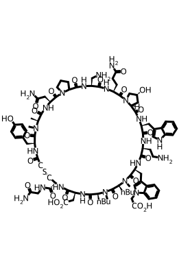 CCCC[C@H]1C(=O)N(C)[C@@H](CCCC)C(=O)N[C@@H](CC(=O)O)C(=O)N[C@H](C(=O)NCC(N)=O)CSCC(=O)N[C@@H](Cc2ccc(O)cc2)C(=O)N(C)[C@@H](C)C(=O)N[C@@H](CC(N)=O)C(=O)N2CCCC2C(=O)N[C@@H](CN)C(=O)N[C@@H](CCC(N)=O)C(=O)N2C[C@H](O)C[C@H]2C(=O)N[C@@H](Cc2c[nH]c3ccccc23)C(=O)N[C@@H](CCN)C(=O)N[C@@H](Cc2cn(CC(=O)O)c3ccccc23)C(=O)N1C